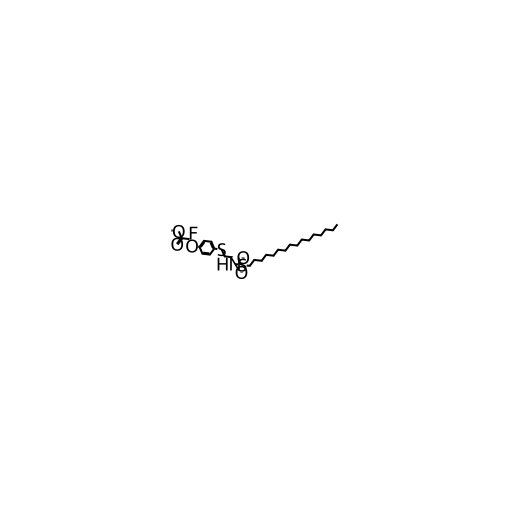 CCCCCCCCCCCCCCCCS(=O)(=O)NCCSc1ccc(OC(F)C(=O)OC)cc1